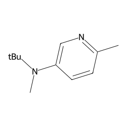 Cc1ccc(N(C)C(C)(C)C)cn1